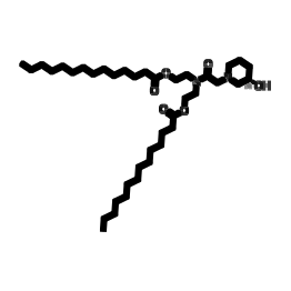 CCCCCCCCCCCCCC(=O)OCCN(CCOC(=O)CCCCCCCCCCCCC)C(=O)CN1CCC[C@H](O)C1